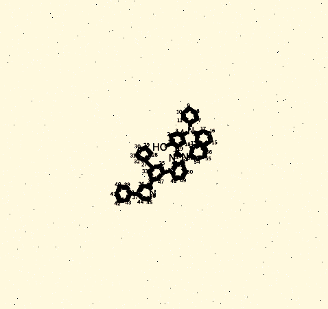 Oc1ccc(N(c2ccccc2)c2ccccc2)cc1-c1nc2c(-c3cc(-c4ccccc4)cc(-c4cc(-c5ccccc5)ccn4)c3)cccc2n1-c1ccccc1